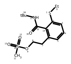 CCSc1cccc(CCOS(C)(=O)=O)c1C(=O)NC(C)(C)C